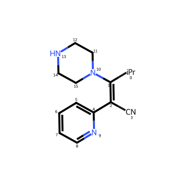 CC(C)C(=C(C#N)c1ccccn1)N1CCNCC1